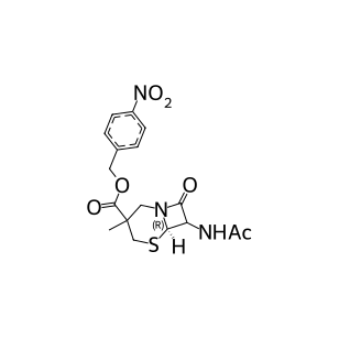 CC(=O)NC1C(=O)N2CC(C)(C(=O)OCc3ccc([N+](=O)[O-])cc3)CS[C@H]12